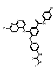 CCNC(=O)Nc1ccc(Oc2ccc(C(=O)Nc3ccc(Br)cc3)cc2Nc2ncnc3nc(C(C)C)ccc23)cc1